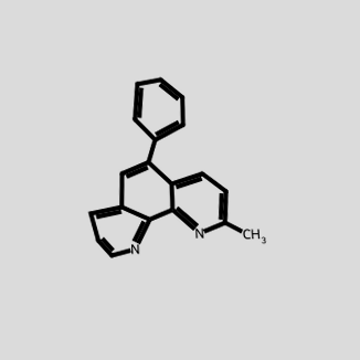 Cc1ccc2c(-c3ccccc3)cc3cccnc3c2n1